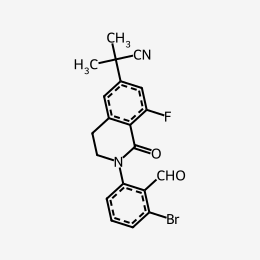 CC(C)(C#N)c1cc(F)c2c(c1)CCN(c1cccc(Br)c1C=O)C2=O